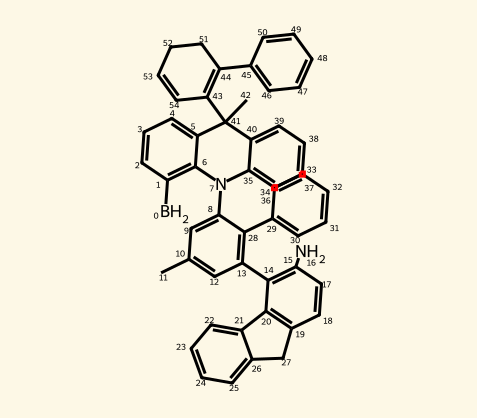 Bc1cccc2c1N(c1cc(C)cc(-c3c(N)ccc4c3-c3ccccc3C4)c1-c1ccccc1)c1ccccc1C2(C)C1=C(c2ccccc2)CCC=C1